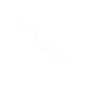 O=C(OCc1ccccc1)N1CCC(O)(CC(O)N2CCC(c3ccc(F)cc3)CC2)CC1